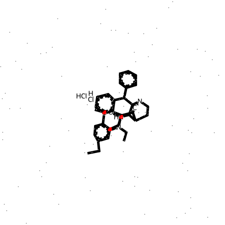 CCc1ccc(OC)c(CNC2C3CCN(CC3C(=O)N(CC)CC)C2C(c2ccccc2)c2ccccc2)c1.Cl.Cl